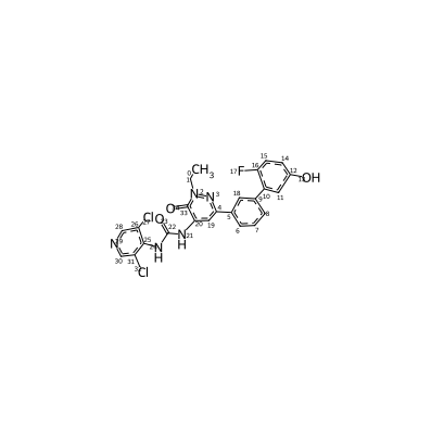 CCn1nc(-c2cccc(-c3cc(O)ccc3F)c2)cc(NC(=O)Nc2c(Cl)cncc2Cl)c1=O